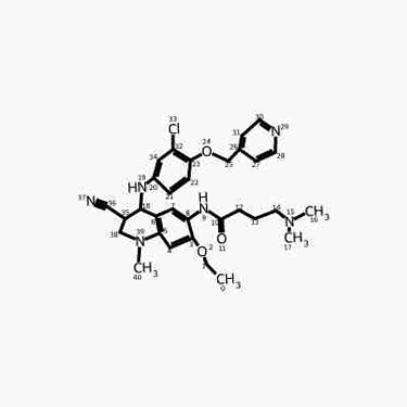 CCOc1cc2c(cc1NC(=O)CCCN(C)C)C(Nc1ccc(OCc3ccncc3)c(Cl)c1)C(C#N)CN2C